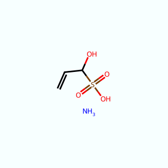 C=CC(O)S(=O)(=O)O.N